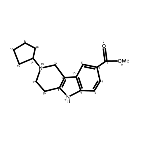 COC(=O)c1ccc2[nH]c3c(c2c1)CN(C1CCCC1)CC3